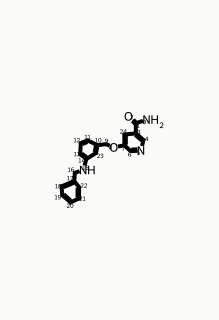 NC(=O)c1cncc(OCc2cccc(NCc3ccccc3)c2)c1